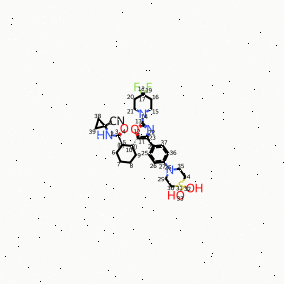 N#CC1(NC(=O)[C@@H]2CCCC[C@H]2c2oc(N3CCC(F)(F)CC3)nc2-c2ccc(N3CCS(O)(O)CC3)cc2)CC1